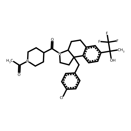 CC(=O)N1CCC(C(=O)N2CCC3(Cc4ccc(Cl)cc4)c4ccc(C(C)(O)C(F)(F)F)cc4CCC23)CC1